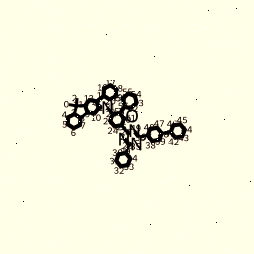 CC1(C)c2ccccc2-c2cc3c(cc21)c1ccccc1n3-c1ccc(-c2nc(-c3ccccc3)nc(-c3ccc(-c4ccccc4)cc3)n2)c2oc3ccccc3c12